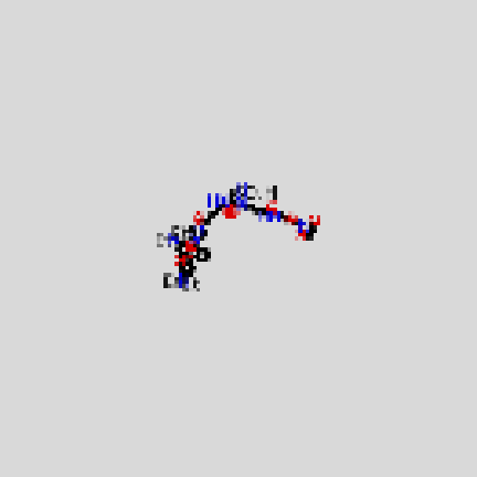 CCN(CC)c1ccc2c(-c3ccccc3C(=O)N3CCN(C(=O)CCCCC(=O)NC(CS(=O)(=O)O)C(=O)NCCCCCC(=O)NCCOCCN4C(=O)C=CC4=O)CC3)c3ccc(N(CC)CC)cc3[o+]c2c1